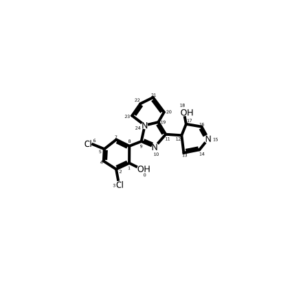 Oc1c(Cl)cc(Cl)cc1-c1nc(C2C=CN=CC2O)c2ccccn12